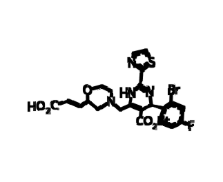 CCOC(=O)C1=C(CN2CCOC(/C=C/C(=O)O)C2)NC(c2nccs2)=N[C@H]1c1ccc(F)cc1Br